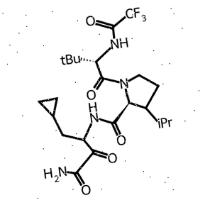 CC(C)C1CCN(C(=O)[C@@H](NC(=O)C(F)(F)F)C(C)(C)C)[C@@H]1C(=O)NC(CC1CC1)C(=O)C(N)=O